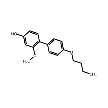 CCCCOc1ccc(-c2ccc(O)cc2OC)cc1